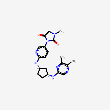 Cc1ncc(N[C@H]2CC[C@H](Nc3ccc(N4C(=O)CN(C)C4=O)cn3)C2)nc1C